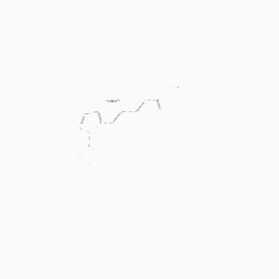 COC(=O)/C=C/c1cc2c(cc1F)c(F)nn2C1CCO1